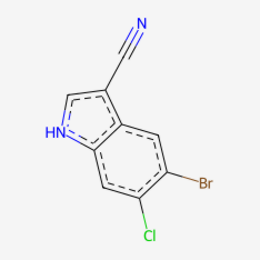 N#Cc1c[nH]c2cc(Cl)c(Br)cc12